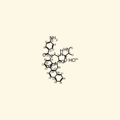 CNC(C)C(=O)NC1CN(C(=O)c2ccc(N)cc2)c2ccccc2N(Cc2c(OC)ccc3ccccc23)C1=O.Cl